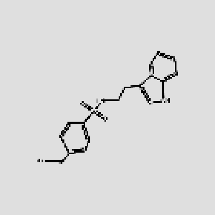 CC(C)Cc1ccc(S(=O)(=O)NCCc2c[nH]c3ccccc23)cc1